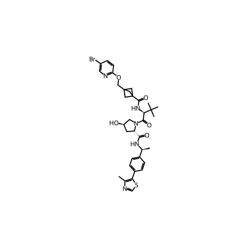 Cc1ncsc1-c1ccc([C@H](C)NC(=O)[C@@H]2C[C@@H](O)CN2C(=O)[C@@H](NC(=O)C23CC(COc4ccc(Br)cn4)(C2)C3)C(C)(C)C)cc1